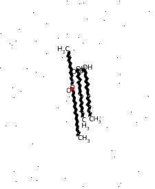 CCCCCCCCCCCCCCCCCC(=O)O.CCCCCCCCCCCCCCCCCC(=O)O.CCCCCCCCCCCCCCCCCC(=O)OCCCCCCCCCCCCC